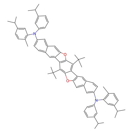 Cc1ccc(C(C)C)cc1N(c1cccc(C(C)C)c1)c1ccc2cc3c(cc2c1)oc1c(C(C)(C)C)c2c(oc4cc5cc(N(c6cccc(C(C)C)c6)c6cc(C(C)C)ccc6C)ccc5cc42)c(C(C)(C)C)c13